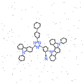 N#Cc1cc(-c2nc(-c3ccc(-c4ccccc4)cc3)nc(-c3ccc4c(c3)c3ccccc3n4-c3ccccc3)n2)ccc1-n1c2ccccc2c2ccc3c(c4ccccc4n3-c3ccccc3)c21